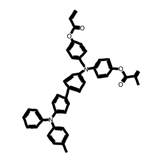 C=CC(=O)Oc1ccc(N(c2ccc(OC(=O)C(=C)C)cc2)c2ccc(-c3ccc(N(c4ccccc4)c4ccc(C)cc4)cc3)cc2)cc1